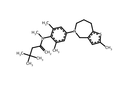 C=C(CC(C)(C)C)N(C)c1c(C)cc(N2CCCc3sc(C)cc3C2)cc1C